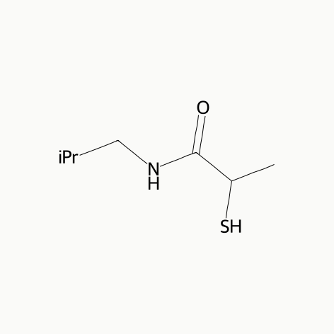 CC(C)CNC(=O)C(C)S